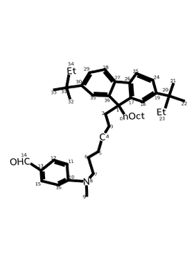 CCCCCCCCC1(CCCCCCN(C)c2ccc(C=O)cc2)c2cc(C(C)(C)CC)ccc2-c2ccc(C(C)(C)CC)cc21